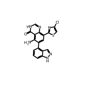 Nc1c(-c2cccc3[nH]ncc23)cc(-c2nc(Cl)cs2)c2nc[nH]c(=O)c12